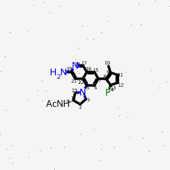 CC(=O)N[C@H]1CCN(c2cc(C3=C(C)C=CC3F)cc3cnc(N)cc23)C1